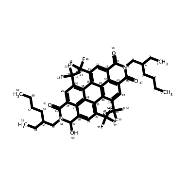 CCCCC(CC)CN1C(=O)c2cc(C(F)(F)F)c3c4c(C(F)(F)F)cc5c6c(cc(C(F)(F)F)c(c7c(C(F)(F)F)cc(c2c37)C1=O)c64)C(O)N(CC(CC)CCCC)C5=O